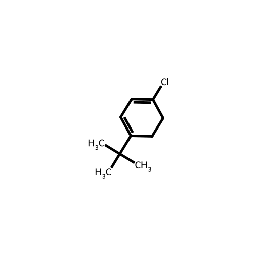 CC(C)(C)C1=CC=C(Cl)CC1